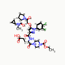 CCOC(=O)N1CCN(C(=O)[C@H](CCC(=O)O)NC(=O)c2cc(OCC(=O)N3CCC[C@H]3C(=O)N(C)C3CC3)n(-c3ccc(F)c(F)c3)n2)CC1